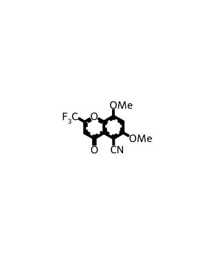 COc1cc(OC)c2oc(C(F)(F)F)cc(=O)c2c1C#N